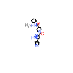 CC1CCCCC1NC(=O)C1CCN(C(=O)c2cc(-c3ccncc3)[nH]n2)CC1